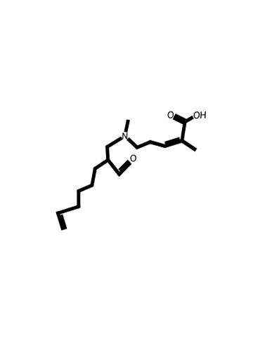 C=CCCCCC(C=O)CN(C)CCC=C(C)C(=O)O